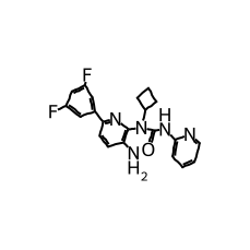 Nc1ccc(-c2cc(F)cc(F)c2)nc1N(C(=O)Nc1ccccn1)C1CCC1